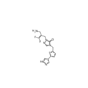 NCC(Cn1ncn(Cc2ccc(-c3cn[nH]c3)s2)c1=O)=C(F)F